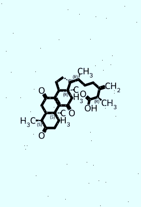 C=C(CC[C@@H](C)[C@H]1CCC2C3=C(C(=O)C[C@@]21C)[C@@]1(C)CCC(=O)[C@@H](C)C1CC3=O)[C@@H](C)C(=O)O